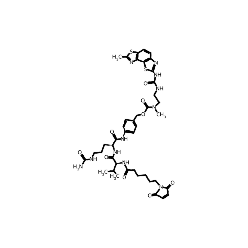 Cc1nc2c(ccc3nc(NC(=O)NCCN(C)C(=O)OCc4ccc(NC(=O)[C@H](CCCNC(N)=O)NC(=O)[C@@H](NC(=O)CCCCCN5C(=O)C=CC5=O)C(C)C)cc4)sc32)s1